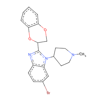 CN1CCC(n2c(C3COc4ccccc4O3)nc3ccc(Br)cc32)CC1